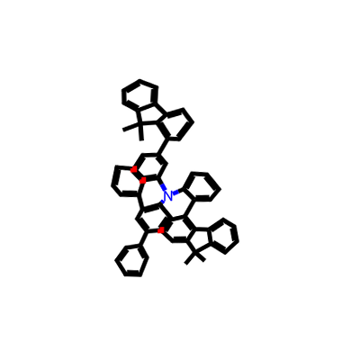 CC1(C)c2ccccc2-c2c(-c3ccccc3N(c3cccc(-c4cccc5c4C(C)(C)c4ccccc4-5)c3)c3ccc(-c4ccccc4)cc3-c3ccccc3)cccc21